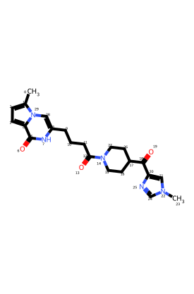 Cc1ccc2c(=O)[nH]c(CCCC(=O)N3CCC(C(=O)c4cn(C)cn4)CC3)cn12